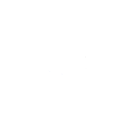 O=C(C=CC=Cc1ccccc1[N+](=O)[O-])N1CCN(CCCCl)CC1